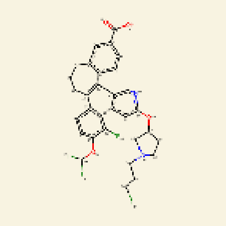 O=C(O)c1ccc2c(c1)CCCC(c1ccc(OC(F)F)c(F)c1)=C2c1ccc(OC2CCN(CCCF)C2)nc1